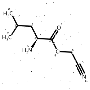 CC(C)C[C@H](N)C(=O)OCC#N